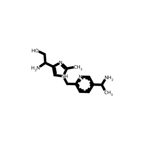 CC1=NC(C(N)CO)=C[SH]1Cc1ccc(C(C)N)cn1